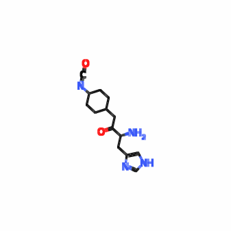 N[C@@H](Cc1c[nH]cn1)C(=O)CC1CCC(N=C=O)CC1